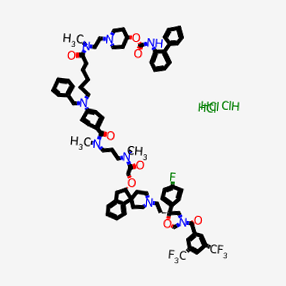 CN(CCN1CCC(OC(=O)Nc2ccccc2-c2ccccc2)CC1)C(=O)CCCCCN(Cc1ccccc1)c1ccc(C(=O)N(C)CCCN(C)C(=O)CO[C@H]2Cc3ccccc3C23CCN(CC[C@]2(c4ccc(F)cc4)CN(C(=O)c4cc(C(F)(F)F)cc(C(F)(F)F)c4)CO2)CC3)cc1.Cl.Cl.Cl